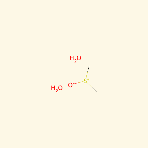 C[S+](C)[O-].O.O